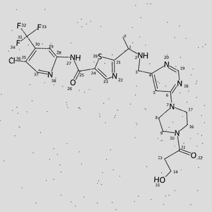 CC(NCc1cc(N2CCN(C(=O)CCO)CC2)ncn1)c1ncc(C(=O)Nc2cc(C(F)(F)F)c(Cl)cn2)s1